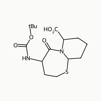 CC(C)(C)OC(=O)NC1CCSC2CCCC(C(=O)O)N2C1=O